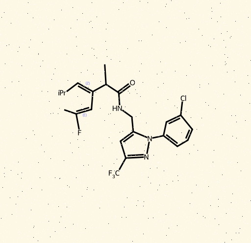 C/C(F)=C\C(=C/C(C)C)C(C)C(=O)NCc1cc(C(F)(F)F)nn1-c1cccc(Cl)c1